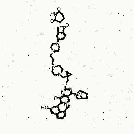 C#Cc1cccc2cc(O)cc(-c3ncc4c(N5CC6CCC(C5)N6)nc(OCC5(CN6CCN(CCCN7CCN(c8ccc9c(c8)CN([C@H]8CCC(=O)NC8=O)C9=O)CC7)CC6)CC5)nc4c3F)c12